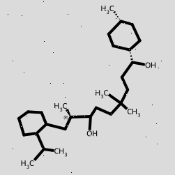 CC(C)C1CCCCC1C[C@@H](C)C(O)CCC(C)(C)CCC(O)[C@H]1CC[C@@H](C)CC1